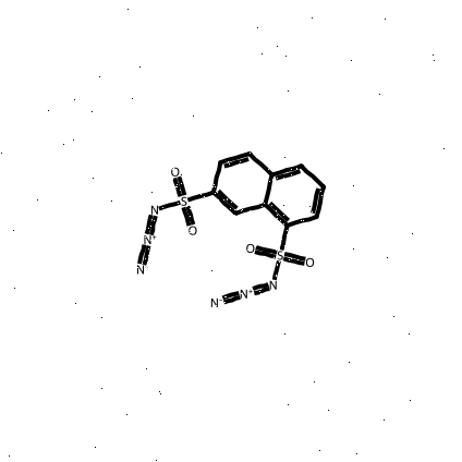 [N-]=[N+]=NS(=O)(=O)c1ccc2cccc(S(=O)(=O)N=[N+]=[N-])c2c1